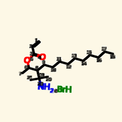 Br.C=CC(=O)OC(C)C(CCCCCCCCCC)C(C)(C)N